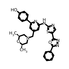 C[C@@H]1CN(Cc2cc(Nc3ncc(-c4nnc(-c5ccccc5)o4)s3)nc(-c3ccc(O)cc3)c2)C[C@H](C)O1